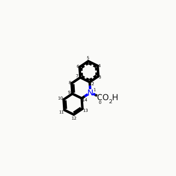 O=C(O)N1c2ccccc2C=C2C=CC=CC21